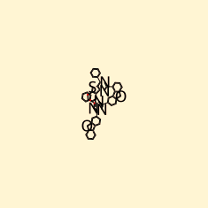 c1ccc(-c2nc(-c3ccc4c(c3)oc3ccccc34)nc(-c3ccc4oc5cccc(-c6nc(-c7ccccc7)c7sc8ccccc8c7n6)c5c4c3)n2)cc1